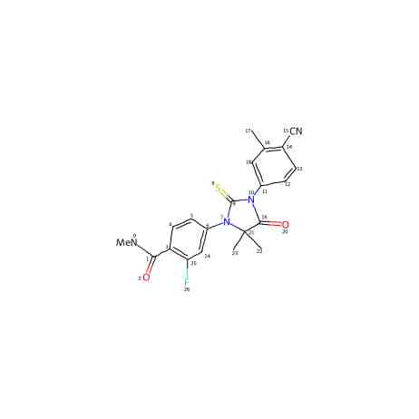 CNC(=O)c1ccc(N2C(=S)N(c3ccc(C#N)c(C)c3)C(=O)C2(C)C)cc1F